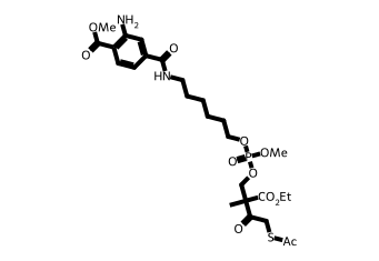 CCOC(=O)C(C)(COP(=O)(OC)OCCCCCCNC(=O)c1ccc(C(=O)OC)c(N)c1)C(=O)CSC(C)=O